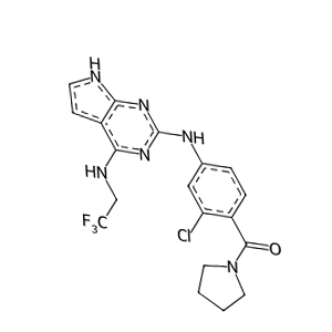 O=C(c1ccc(Nc2nc(NCC(F)(F)F)c3cc[nH]c3n2)cc1Cl)N1CCCC1